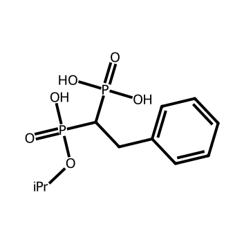 CC(C)OP(=O)(O)C(Cc1ccccc1)P(=O)(O)O